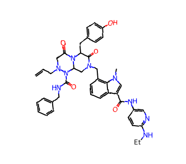 C=CCN1CC(=O)N2C(Cc3ccc(O)cc3)C(=O)N(Cc3cccc4c(C(=O)Nc5ccc(NCC)nc5)cn(C)c34)CC2N1C(=O)NCc1ccccc1